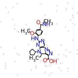 CCC1c2c(C(=O)O)ncn2-c2cnc(Nc3ccc(C(=O)NC)cc3OC)nc2N1C1CCCC1